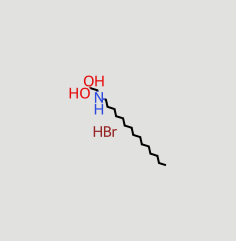 Br.CCCCCCCCCCCCCCCNCC(O)O